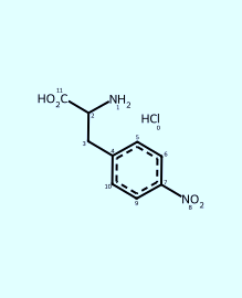 Cl.NC(Cc1ccc([N+](=O)[O-])cc1)C(=O)O